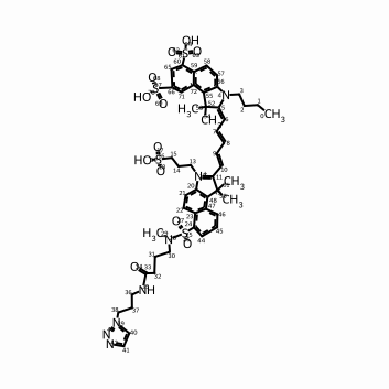 CCCCN1/C(=C/C=C/C=C/C2=[N+](CCCS(=O)(=O)O)c3ccc4c(S(=O)(=O)N(C)CCCC(=O)NCCCn5ccnn5)cccc4c3C2(C)C)C(C)(C)c2c1ccc1c(S(=O)(=O)O)cc(S(=O)(=O)O)cc21